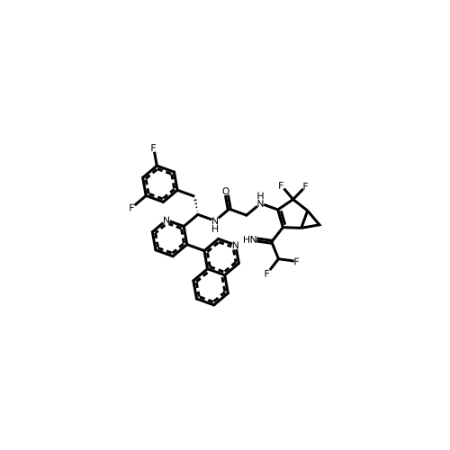 N=C(C1=C(NCC(=O)N[C@@H](Cc2cc(F)cc(F)c2)c2ncccc2-c2cncc3ccccc23)C(F)(F)C2CC12)C(F)F